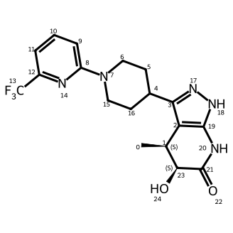 C[C@H]1c2c(C3CCN(c4cccc(C(F)(F)F)n4)CC3)n[nH]c2NC(=O)[C@H]1O